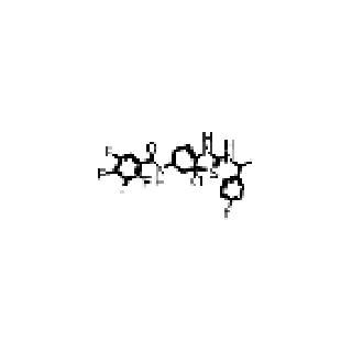 CC(NC(=S)NC1=CC=C(NC(=O)c2cc(F)c(F)c(F)c2F)CC1(C)Cl)c1ccc(F)cc1